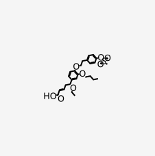 CCCCOc1cc(C(CC=CC(=O)O)OCC)ccc1OCCc1ccc(OS(C)(=O)=O)cc1